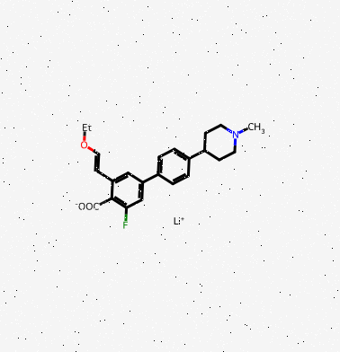 CCO/C=C/c1cc(-c2ccc(C3CCN(C)CC3)cc2)cc(F)c1C(=O)[O-].[Li+]